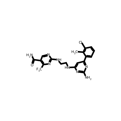 Cc1c(Cl)cccc1-c1cc(NCCNc2ncc(C(N)=O)c(C(F)(F)F)n2)nc(N)n1